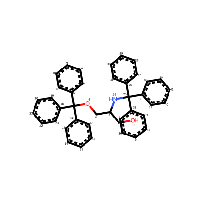 OCC(COC(c1ccccc1)(c1ccccc1)c1ccccc1)NC(c1ccccc1)(c1ccccc1)c1ccccc1